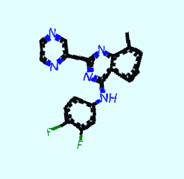 Cc1cccc2c(Nc3ccc(F)c(F)c3)nc(-c3cnccn3)nc12